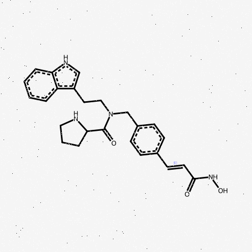 O=C(/C=C/c1ccc(CN(CCc2c[nH]c3ccccc23)C(=O)C2CCCN2)cc1)NO